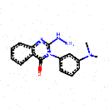 CN(C)c1cccc(-n2c(NN)nc3ccccc3c2=O)c1